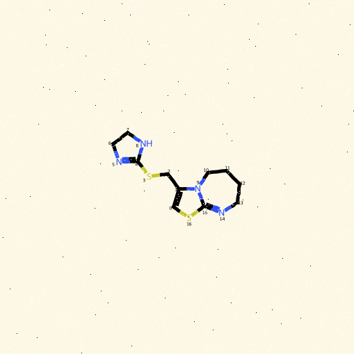 C1=C(CSC2=NCCN2)N2CCCCN=C2S1